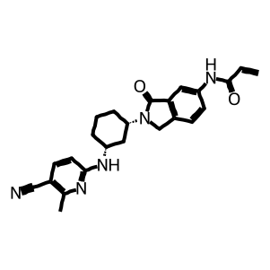 C=CC(=O)Nc1ccc2c(c1)C(=O)N([C@H]1CCC[C@@H](Nc3ccc(C#N)c(C)n3)C1)C2